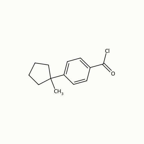 CC1(c2ccc(C(=O)Cl)cc2)CCCC1